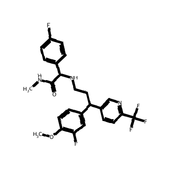 CNC(=O)C(NCCC(c1ccc(C(F)(F)F)nc1)c1ccc(OC)c(F)c1)c1ccc(F)cc1